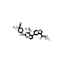 CNC(=O)c1cnn2ccc(-c3ccn4nc(NC5CCC(C)(C#N)CC5)nc(OC)c34)cc12